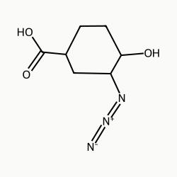 [N-]=[N+]=NC1CC(C(=O)O)CCC1O